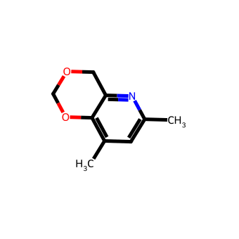 Cc1cc(C)c2c(n1)COCO2